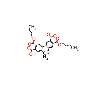 CCCCOC(=O)c1cc(C)c(-c2cc(C(=O)OCCCC)c(C(=O)O)cc2C)cc1C(=O)O